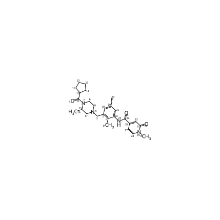 Cc1c(CN2CCN(C(=O)C3CCCC3)C(C)C2)cc(F)cc1NC(=O)c1ccn(C)c(=O)c1